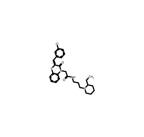 CCC1CCCCN1CCCNC(=O)CN1C(=O)/C(=C\c2cccc(Cl)c2)Sc2ccccc21